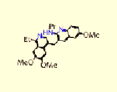 CCc1ncc(Cc2cc3cc(OC)ccc3nc2NC(C)C)c2cc(OC)c(OC)cc12